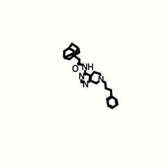 O=C(CC12CC3CC(CC(C3)C1)C2)Nc1ncnc2c1CCN(CCCc1ccccc1)C2